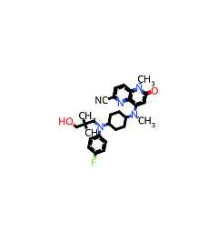 CN(c1cc(=O)n(C)c2ccc(C#N)nc12)C1CCC(N(CC(C)(C)CO)c2ccc(F)cc2)CC1